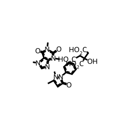 Cc1cc(=O)n(-c2ccccc2)n1C.Cn1c(=O)c2c(ncn2C)n(C)c1=O.O=C(O)CC(O)(CC(=O)O)C(=O)O